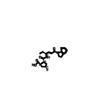 CC[C@@H](C=CC(=O)N1CCc2ccccc21)NC(=O)[C@@H]1C[C@H](F)CN1C(=O)O